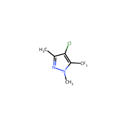 Cc1nn(C)c(C(F)(F)F)c1Cl